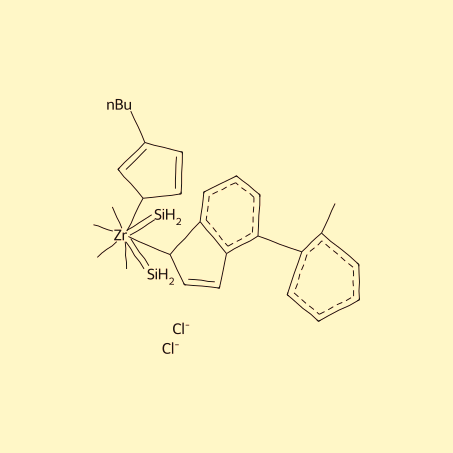 CCCCC1=C[CH]([Zr]([CH3])([CH3])([CH3])([CH3])(=[SiH2])(=[SiH2])[CH]2C=Cc3c(-c4ccccc4C)cccc32)C=C1.[Cl-].[Cl-]